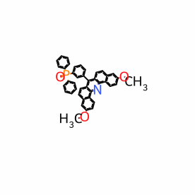 COc1ccc2c(ccc3c(-c4cccc(P(=O)(c5ccccc5)c5ccccc5)c4)c4ccc5cc(OC)ccc5c4nc32)c1